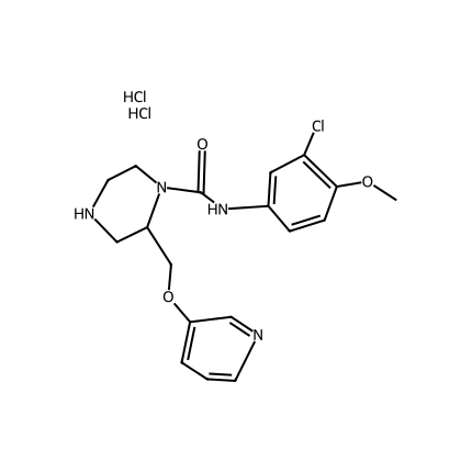 COc1ccc(NC(=O)N2CCNCC2COc2cccnc2)cc1Cl.Cl.Cl